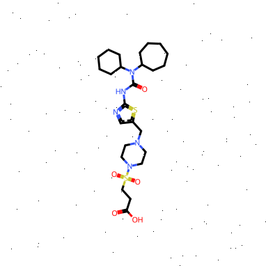 O=C(O)CCS(=O)(=O)N1CCN(Cc2cnc(NC(=O)N(C3CCCCCC3)C3CCCCC3)s2)CC1